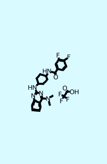 CN(C)c1nc(NC2CCC(NC(=O)c3ccc(F)c(F)c3)CC2)nc2ccccc12.O=C(O)C(F)(F)F